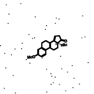 CCCC[C@]12CCC3=C(CCc4cc(OC)ccc43)C1=CCC2=O